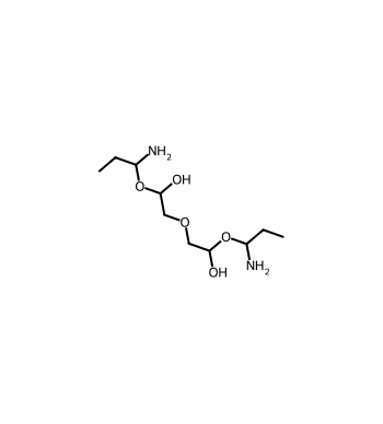 CCC(N)OC(O)COCC(O)OC(N)CC